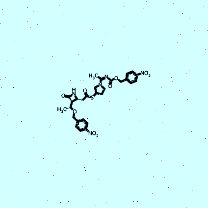 CC(=NC(=O)OCc1ccc([N+](=O)[O-])cc1)N1CCC(SC(=O)C[C@H]2NC(=O)[C@@H]2[C@@H](C)OCc2ccc([N+](=O)[O-])cc2)C1